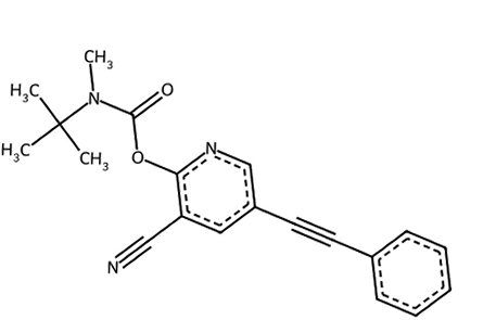 CN(C(=O)Oc1ncc(C#Cc2ccccc2)cc1C#N)C(C)(C)C